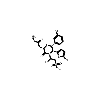 CCC(CS(=O)(=O)C(C)(C)C)N1C(=O)[C@H](CC(=O)OC(C)(C)C)O[C@H](c2cccc(Cl)c2)[C@H]1c1ccc(Cl)s1